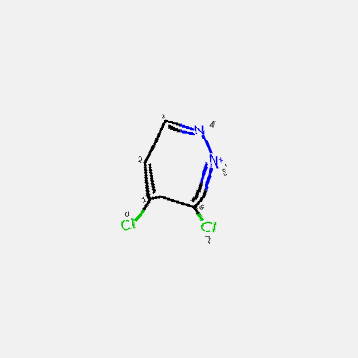 ClC1=CC=N[N+]=C1Cl